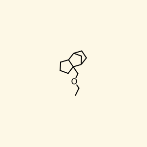 CCOCC12CCCC1C1CCC2C1